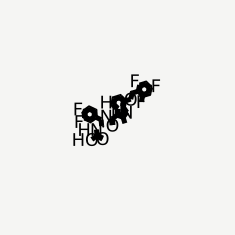 Cc1nc2c(OCc3c(F)cc(F)cc3F)cccn2c1C(=O)NC(CNC(=O)O)c1ccc(F)c(F)c1